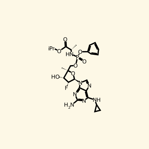 CC(C)OC(=O)[C@H](C)NP(=O)(OC[C@@]1(C)O[C@@H](n2cnc3c(NC4CC4)nc(N)nc32)[C@H](F)[C@@H]1O)Oc1ccccc1